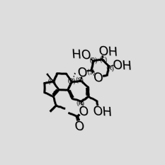 CC(=O)O[C@@H]1C=C2C3=C(C(C)C)CC[C@]3(C)CC[C@@]2(C)[C@@H](O[C@@H]2OC[C@@H](O)[C@H](O)[C@H]2O)C=C1CO